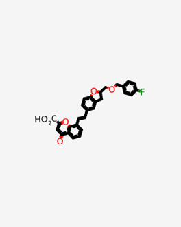 O=C(O)c1cc(=O)c2cccc(/C=C/c3ccc4c(c3)CC(COCc3ccc(F)cc3)O4)c2o1